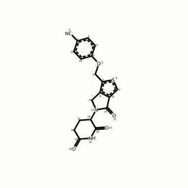 N#Cc1ccc(OCc2scc3c2CN(C2CCC(=O)NC2=O)C3=O)cc1